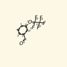 O=Cc1cccc(OC(F)(F)C(F)(F)F)c1